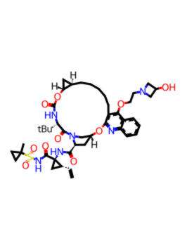 C=C[C@@H]1C[C@]1(NC(=O)[C@@H]1C[C@@H]2CN1C(=O)[C@H](C(C)(C)C)NC(=O)O[C@@H]1C[C@H]1CCCCCc1c(nc3ccccc3c1OCCN1CC(O)C1)O2)C(=O)NS(=O)(=O)C1(C)CC1